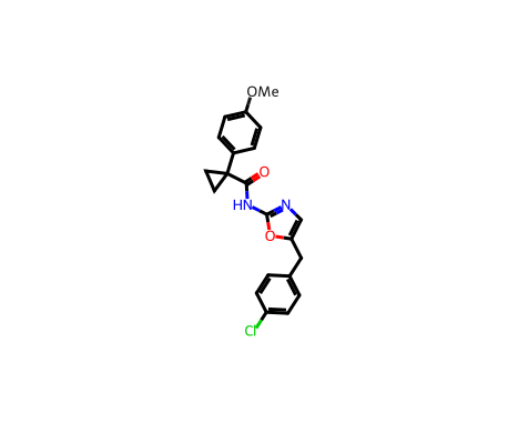 COc1ccc(C2(C(=O)Nc3ncc(Cc4ccc(Cl)cc4)o3)CC2)cc1